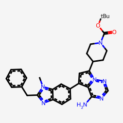 Cn1c(Cc2ccccc2)nc2ccc(-c3cc(C4CCN(C(=O)OC(C)(C)C)CC4)n4ncnc(N)c34)cc21